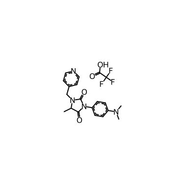 CC1C(=O)N(c2ccc(N(C)C)cc2)C(=O)N1Cc1ccncc1.O=C(O)C(F)(F)F